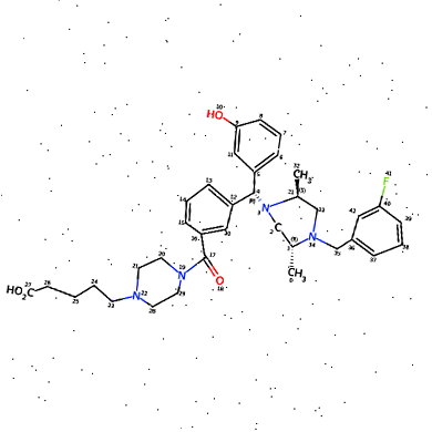 C[C@@H]1CN([C@@H](c2cccc(O)c2)c2cccc(C(=O)N3CCN(CCCCC(=O)O)CC3)c2)[C@@H](C)CN1Cc1cccc(F)c1